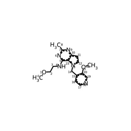 COCCNc1nc(C)nc2ccn(Cc3ccncc3OC)c12